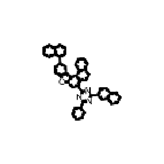 c1ccc(-c2nc(-c3ccc4ccccc4c3)nc(-c3cc4oc5ccc(-c6cccc7ccccc67)cc5c4c4c3ccc3ccccc34)n2)cc1